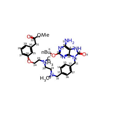 CCCCOc1nc(N)c2[nH]c(=O)n(Cc3ccc(CN(C)CCN(C)CCOc4cccc(CC(=O)OC)c4)cc3)c2n1